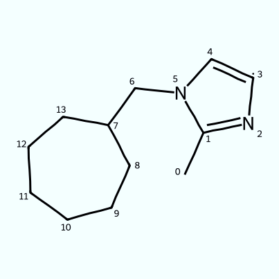 Cc1n[c]cn1CC1CCCCCC1